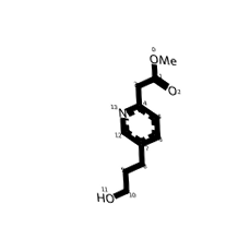 COC(=O)Cc1ccc(CCCO)cn1